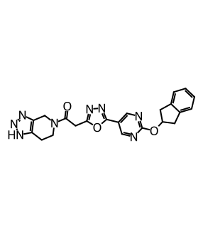 O=C(Cc1nnc(-c2cnc(OC3Cc4ccccc4C3)nc2)o1)N1CCc2[nH]nnc2C1